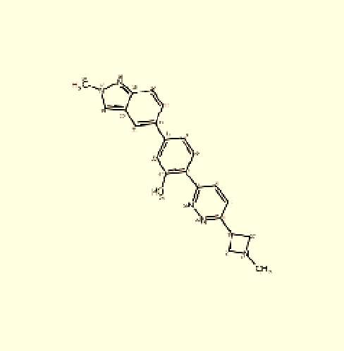 CN1CC(c2ccc(-c3ccc(-c4ccc5nn(C)cc5c4)cc3O)nn2)C1